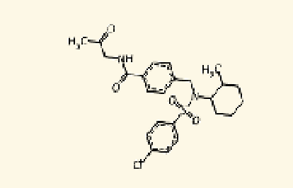 CC(=O)CNC(=O)c1ccc(CN(C2CCCCC2C)S(=O)(=O)c2ccc(Cl)cc2)cc1